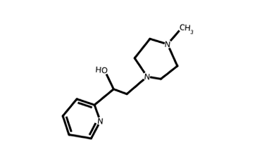 CN1CCN(CC(O)c2ccccn2)CC1